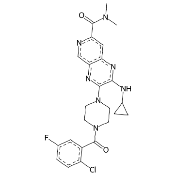 CN(C)C(=O)c1cc2nc(NC3CC3)c(N3CCN(C(=O)c4cc(F)ccc4Cl)CC3)nc2cn1